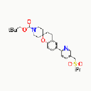 CC(C)S(=O)(=O)Cc1ccc(-c2ccc3c(c2)CCC2(CCN(C(=O)OCC(C)(C)C)CC2)O3)nc1